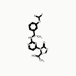 C[C@H](Nc1nccc(N2C(=O)OC[C@@H]2[C@@H](C)O)n1)c1cccc(OC(F)F)c1